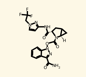 NC(=O)c1nn(OC(=O)N2[C@@H]3CC3C[C@H]2C(=O)Nc2ccn(CC(F)(F)F)n2)c2ccccc12